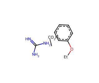 CC(=O)O.CCOc1ccccc1.N=C(N)N